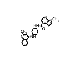 Cn1ccc2c(C(=O)N[C@H]3CC[C@@H](Nc4cc(C(F)(F)F)nc5ccccc45)CC3)ccnc21